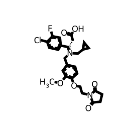 COc1cc(CN(CC2CC2)[C@@H](CC(=O)O)c2ccc(Cl)c(F)c2)ccc1OCCN1C(=O)CCC1=O